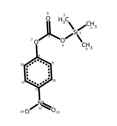 C[Si](C)(C)OC(=O)Oc1ccc([N+](=O)[O-])cc1